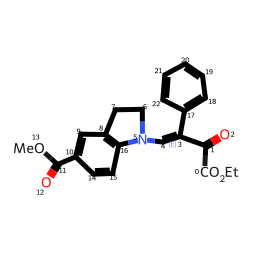 CCOC(=O)C(=O)/C(=C/N1CCc2cc(C(=O)OC)ccc21)c1ccccc1